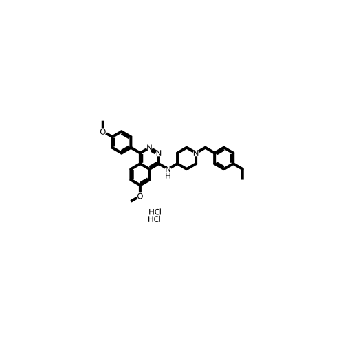 CCc1ccc(CN2CCC(Nc3nnc(-c4ccc(OC)cc4)c4ccc(OC)cc34)CC2)cc1.Cl.Cl